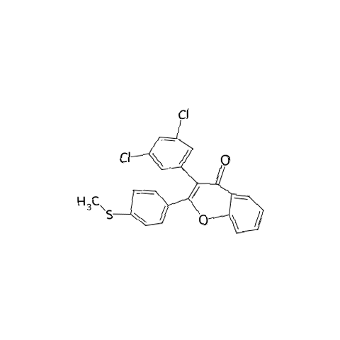 CSc1ccc(-c2oc3ccccc3c(=O)c2-c2cc(Cl)cc(Cl)c2)cc1